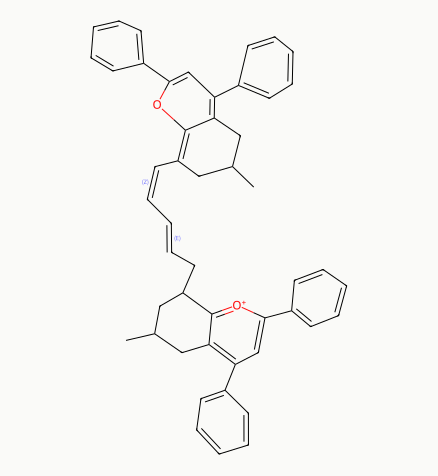 CC1CC(/C=C\C=C\CC2CC(C)Cc3c(-c4ccccc4)cc(-c4ccccc4)[o+]c32)=C2OC(c3ccccc3)=CC(c3ccccc3)=C2C1